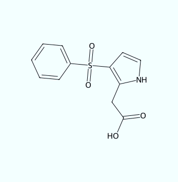 O=C(O)Cc1[nH]ccc1S(=O)(=O)c1ccccc1